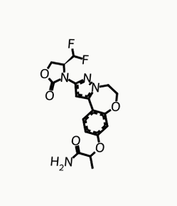 CC(Oc1ccc2c(c1)OCCn1nc(N3C(=O)OC[C@H]3C(F)F)cc1-2)C(N)=O